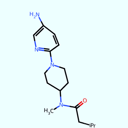 CC(C)CC(=O)N(C)C1CCN(c2ccc(N)cn2)CC1